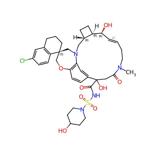 CN1CC/C=C/[C@H](O)[C@@H]2CC[C@H]2CN2C[C@@]3(CCCc4cc(Cl)ccc43)COc3ccc(cc32)C(O)(C(=O)NS(=O)(=O)N2CCC(O)CC2)CC1=O